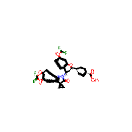 O=C(N[C@@H]1C[C@H]([C@H]2CC[C@@H](C(=O)O)CC2)Oc2cc(OC(F)F)ccc21)C1(c2ccc3c(c2)OC(F)(F)O3)CC1